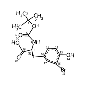 CC(C)(C)OC(=O)N[C@@H](Cc1ccc(O)c(Br)c1)C(=O)O